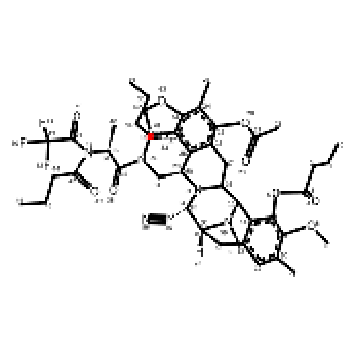 CCCC(=O)Oc1c(OC)c(C)cc2c1C1C3Cc4c(OC(C)=O)c(C)c5c(c4[C@H](CN(C(=O)CCC)C(=O)[C@H](C)N(C(=O)CCC)C(=O)C(F)(F)F)N3[C@@H](C#N)[C@@H](C2)N1C)OCO5